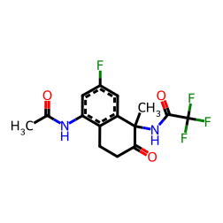 CC(=O)Nc1cc(F)cc2c1CCC(=O)C2(C)NC(=O)C(F)(F)F